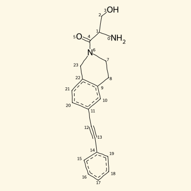 NC(CO)C(=O)N1CCc2cc(C#Cc3ccccc3)ccc2C1